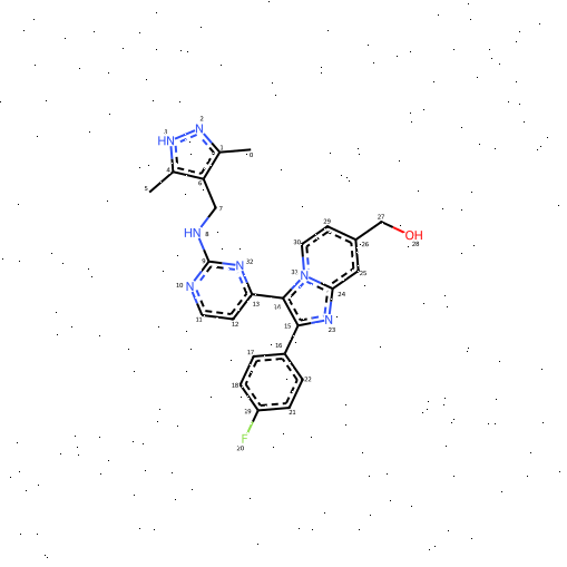 Cc1n[nH]c(C)c1CNc1nccc(-c2c(-c3ccc(F)cc3)nc3cc(CO)ccn23)n1